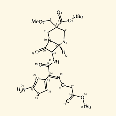 COCC1(C(=O)OC(C)(C)C)CS[C@@H]2C(NC(=O)C(=NOCC(=O)OC(C)(C)C)c3csc(N)n3)C(=O)N2C1